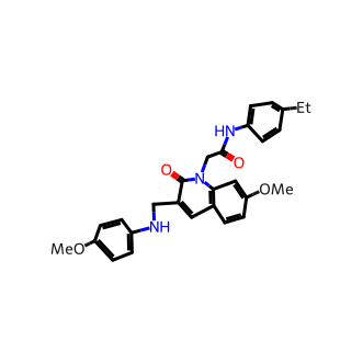 CCc1ccc(NC(=O)Cn2c(=O)c(CNc3ccc(OC)cc3)cc3ccc(OC)cc32)cc1